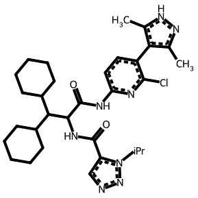 Cc1n[nH]c(C)c1-c1ccc(NC(=O)C(NC(=O)c2cnnn2C(C)C)C(C2CCCCC2)C2CCCCC2)nc1Cl